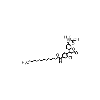 CCCCCCCCCCCCCC(=O)Nc1ccc(-c2cc(=O)oc3cc(O[C@H](C)C(=O)O)ccc23)c(Cl)c1